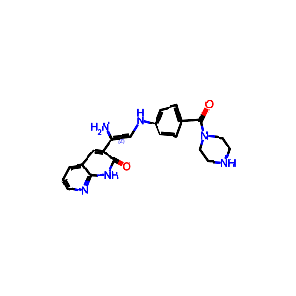 N/C(=C\Nc1ccc(C(=O)N2CCNCC2)cc1)c1cc2cccnc2[nH]c1=O